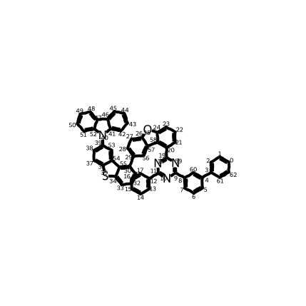 c1ccc(-c2cccc(-c3nc(-c4ccccc4)nc(-c4cccc5oc6ccc(-c7cccc8sc9ccc(-n%10c%11ccccc%11c%11ccccc%11%10)cc9c78)cc6c45)n3)c2)cc1